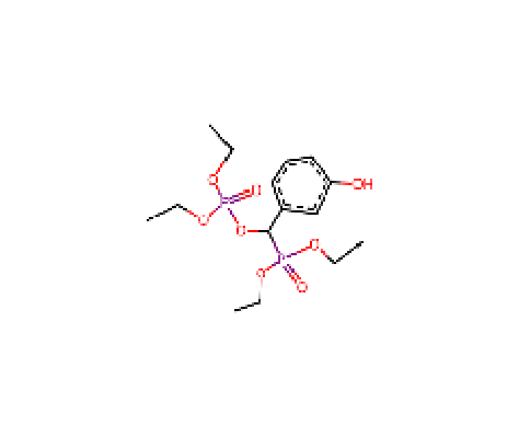 CCOP(=O)(OCC)OC(c1cccc(O)c1)P(=O)(OCC)OCC